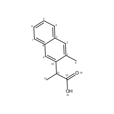 Cc1cc2ccccc2cc1C(C)C(=O)O